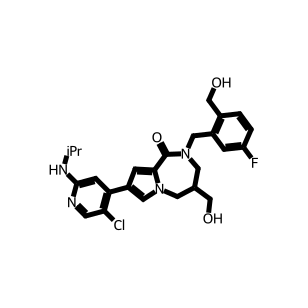 CC(C)Nc1cc(-c2cc3n(c2)CC(CO)CN(Cc2cc(F)ccc2CO)C3=O)c(Cl)cn1